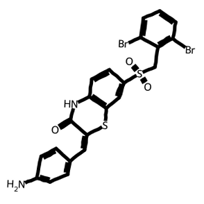 Nc1ccc(/C=C2/Sc3cc(S(=O)(=O)Cc4c(Br)cccc4Br)ccc3NC2=O)cc1